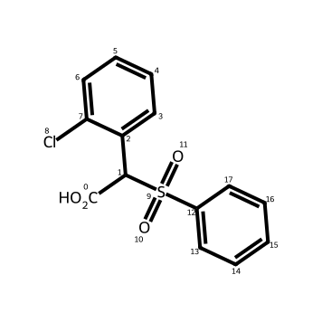 O=C(O)C(c1ccccc1Cl)S(=O)(=O)c1ccccc1